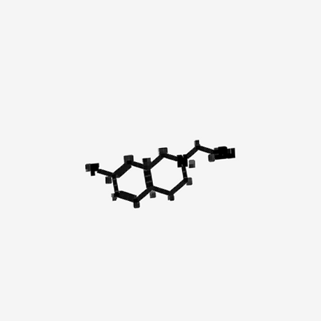 CC(C)(C)CN1CCc2ccc(F)cc2C1